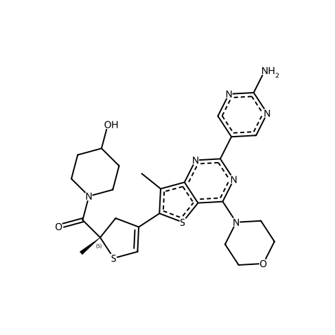 Cc1c(C2=CS[C@](C)(C(=O)N3CCC(O)CC3)C2)sc2c(N3CCOCC3)nc(-c3cnc(N)nc3)nc12